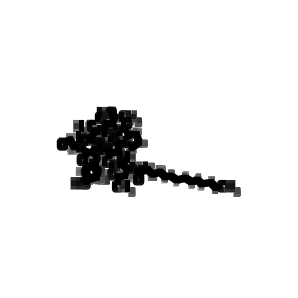 CCCCCCCCCCCCCC(=O)N[C@@H](CC(C)C)C(=O)N[C@H](C(=O)N1CCC[C@@H]1C(=O)N[C@H](C(=O)N[C@@H](C)C(=O)N[C@@H](Cc1ccc(O)cc1)C(=O)NCC=O)[C@@H](C)O)C(C)O